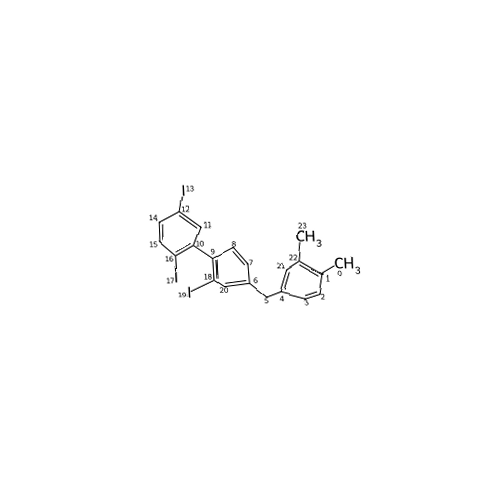 Cc1ccc(Cc2ccc(-c3cc(I)ccc3I)c(I)c2)cc1C